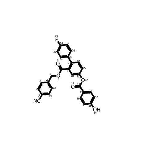 N#Cc1ccc(COC(=O)c2cc(OC(=O)c3ccc(O)cc3)ccc2-c2ccc(F)cc2)cc1